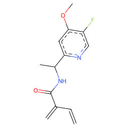 C=CC(=C)C(=O)NC(C)c1cc(OC)c(F)cn1